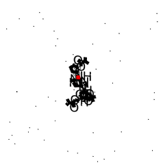 CC(C)C(=O)OC[C@H]1O[C@@H](n2cnc3c(N[C@H]4CCC[C@@H]4OC(=O)C(C)C)nncc32)[C@@H]2OC(C)(C)O[C@@H]21